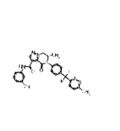 Cc1ccc(C(F)(F)c2ccc(N3C(=O)c4c(C(=O)Nc5cccc(C#N)c5)cnn4C[C@@H]3C)cc2)nn1